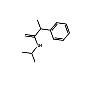 C=C(NC(C)C)C(C)c1ccccc1